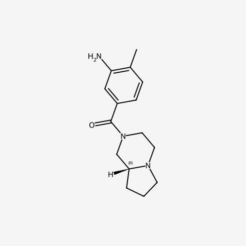 Cc1ccc(C(=O)N2CCN3CCC[C@@H]3C2)cc1N